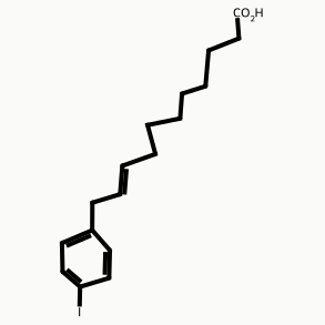 O=C(O)CCCCCCC/C=C/Cc1ccc(I)cc1